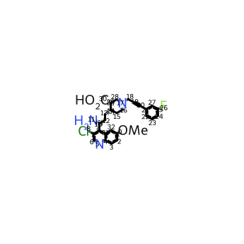 COc1ccc2ncc(Cl)c([C@@H](N)CC[C@H]3CCN(CC#Cc4cccc(F)c4)C[C@H]3C(=O)O)c2c1